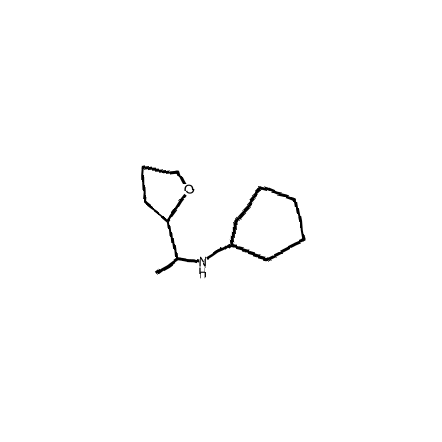 CC(NC1CCCCC1)C1CCCO1